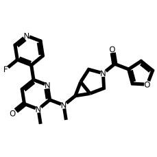 CN(c1nc(-c2ccncc2F)cc(=O)n1C)C1C2CN(C(=O)c3ccoc3)CC21